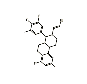 CCC=CC1CCC2c3cc(F)cc(F)c3CCC2C1c1cc(F)c(F)c(F)c1